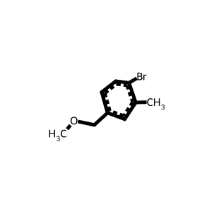 COCc1ccc(Br)c(C)c1